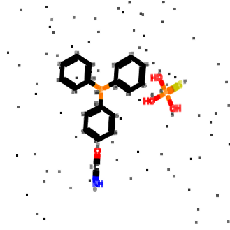 N=C=O.OP(O)(O)=S.c1ccc(P(c2ccccc2)c2ccccc2)cc1